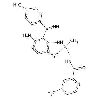 Cc1ccc(C(=N)c2c(N)ncnc2NC(C)(C)CNC(=O)c2cc(C)ccn2)cc1